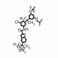 CC(C)(c1cc(Cl)cc(NC(=O)c2cc3cc(C(C)(C)S(C)(=O)=O)ccc3s2)c1)c1cc(OCC(F)F)cc(OC(F)(F)F)c1